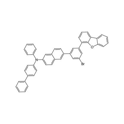 Brc1cc(-c2ccc3cc(N(c4ccccc4)c4ccc(-c5ccccc5)cc4)ccc3c2)cc(-c2cccc3c2oc2ccccc23)c1